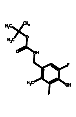 Cc1c(CNC(=O)OC(C)(C)C)cc(F)c(O)c1F